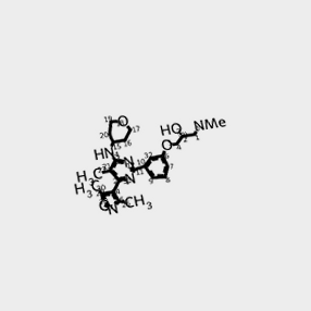 CNC[C@@H](O)COc1cccc(-c2nc(NC3CCOCC3)c(C)c(-c3c(C)noc3C)n2)c1